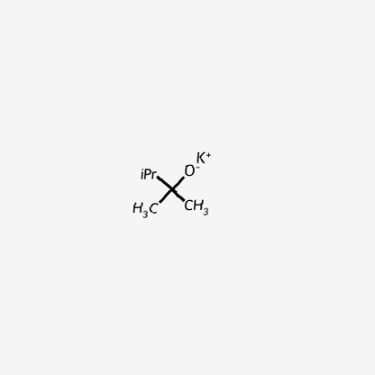 CC(C)C(C)(C)[O-].[K+]